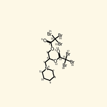 O=C(OCC(CN1CCCCC1)OC(=O)C(Br)(Br)Br)C(Br)(Br)Br